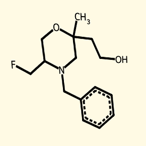 CC1(CCO)CN(Cc2ccccc2)C(CF)CO1